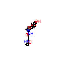 CC1=C2C[C@H]3[C@@H](CC=C4CC(O)CC[C@@]43C)[C@@H]2CC[C@@]12CC1[C@@H](C[C@H](C)CN1CCNC(=O)CCCCCNC(=O)c1ccccc1)O2